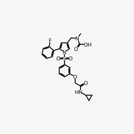 CN(Cc1cc(-c2ccccc2F)n(S(=O)(=O)c2cccc(OCC(=O)NC3CC3)c2)c1)C(=O)O